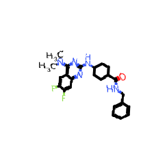 CN(C)c1nc(NC2CCC(C(=O)NCc3ccccc3)CC2)nc2cc(F)c(F)cc12